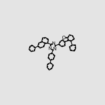 c1ccc(-c2ccc(-c3nc(-c4ccc5c(c4)oc4cccc(-c6ccccc6)c45)nc(-c4cccc5cc(-c6ccccc6)ccc45)n3)cc2)cc1